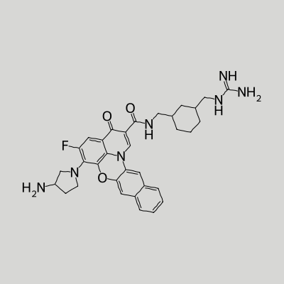 N=C(N)NCC1CCCC(CNC(=O)c2cn3c4c(c(N5CCC(N)C5)c(F)cc4c2=O)Oc2cc4ccccc4cc2-3)C1